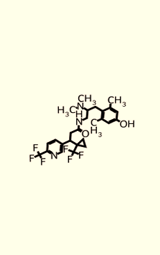 Cc1cc(O)cc(C)c1CC(CNC(=O)CC(c1ccc(C(F)(F)F)nc1)C1(C(F)(F)F)CC1)N(C)C